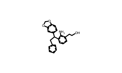 Nc1c(CCO)cccc1C(Cc1ccccc1)c1ccc2c(c1)OCO2